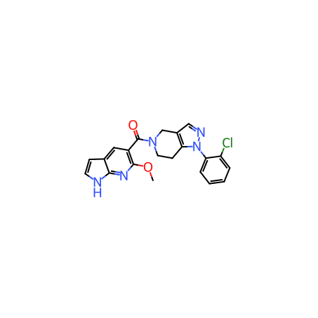 COc1nc2[nH]ccc2cc1C(=O)N1CCc2c(cnn2-c2ccccc2Cl)C1